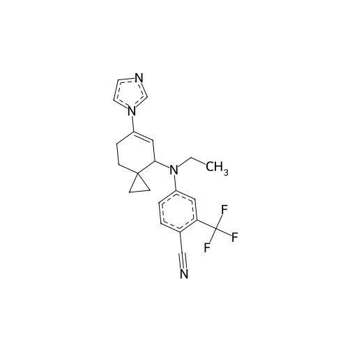 CCN(c1ccc(C#N)c(C(F)(F)F)c1)C1C=C(n2ccnc2)CCC12CC2